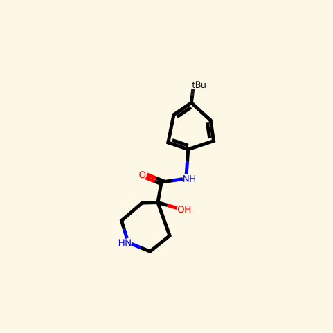 CC(C)(C)c1ccc(NC(=O)C2(O)CCNCC2)cc1